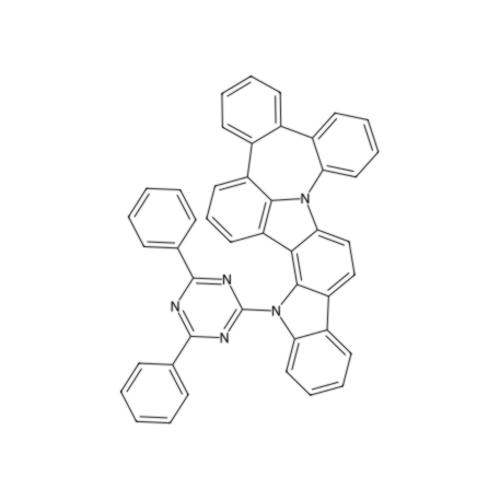 c1ccc(-c2nc(-c3ccccc3)nc(-n3c4ccccc4c4ccc5c(c6cccc7c6n5-c5ccccc5-c5ccccc5-7)c43)n2)cc1